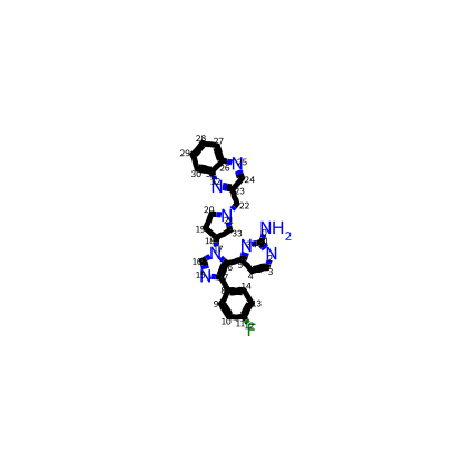 Nc1nccc(-c2c(-c3ccc(F)cc3)ncn2C2CCN(Cc3cnc4ccccc4n3)C2)n1